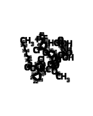 CCCCCCCCSC(=O)Oc1cc(Cl)nnc1-c1ccccc1.CCOC(=O)C(C)OC(=O)c1cc(Oc2ccc(C(F)(F)F)cc2Cl)ccc1[N+](=O)[O-].O=C(O)CNCP(=O)(O)O